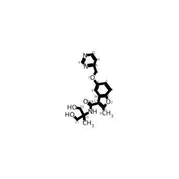 Cc1oc2ccc(OCc3ccncn3)cc2c1C(=O)NC(C)(CO)CO